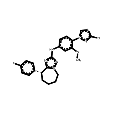 COc1cc(Nc2nc3n(n2)CCCC[C@@H]3c2ccc(F)cc2)ccc1-n1cnc(Cl)n1